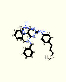 CCCCc1ccc(Nc2nc(N(Cc3ccccc3)Cc3ccccc3)c3nc[nH]c3n2)cc1